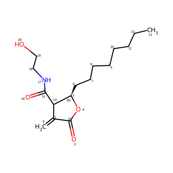 C=C1C(=O)O[C@H](CCCCCCCC)C1C(=O)NCCO